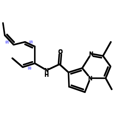 C\C=C/C=C\C(=C/C)NC(=O)c1ccn2c(C)cc(C)nc12